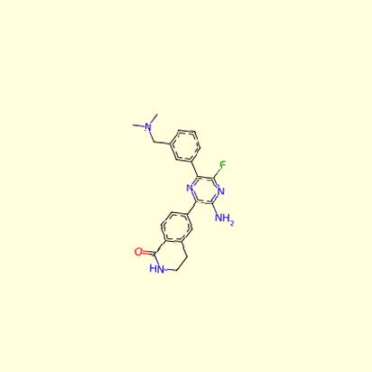 CN(C)Cc1cccc(-c2nc(-c3ccc4c(c3)CCNC4=O)c(N)nc2F)c1